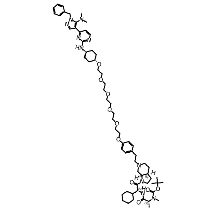 C[C@@H](C(=O)N[C@H](C(=O)N1CC[C@@H]2CCN(CCc3ccc(OCCOCCOCCOCCOCCO[C@H]4CC[C@H](Nc5nccc(-c6cnn(Cc7ccccc7)c6N(C)C)n5)CC4)cc3)C[C@@H]21)C1CCCCC1)N(C)C(=O)OC(C)(C)C